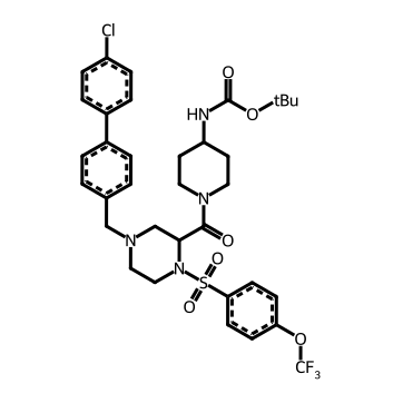 CC(C)(C)OC(=O)NC1CCN(C(=O)C2CN(Cc3ccc(-c4ccc(Cl)cc4)cc3)CCN2S(=O)(=O)c2ccc(OC(F)(F)F)cc2)CC1